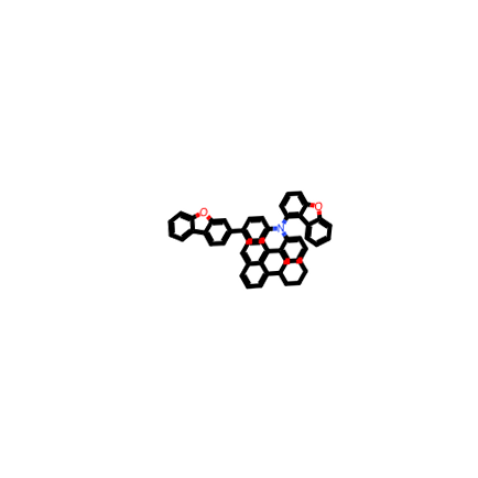 c1ccc(N(c2ccc(-c3ccc4c(c3)oc3ccccc34)cc2)c2cccc3oc4ccccc4c23)c(-c2cccc3cccc(C4CCCCC4)c23)c1